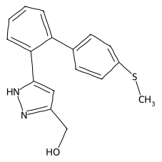 CSc1ccc(-c2ccccc2-c2cc(CO)n[nH]2)cc1